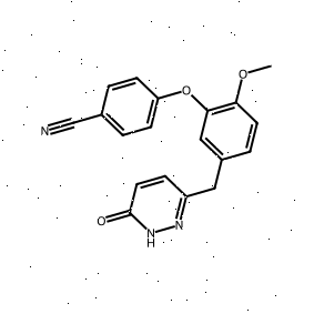 COc1ccc(Cc2ccc(=O)[nH]n2)cc1Oc1ccc(C#N)cc1